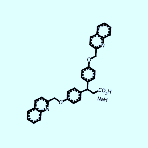 O=C(O)CC(c1ccc(OCc2ccc3ccccc3n2)cc1)c1ccc(OCc2ccc3ccccc3n2)cc1.[NaH]